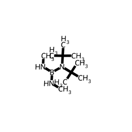 CNB(NC)N(C(C)(C)C)C(C)(C)C